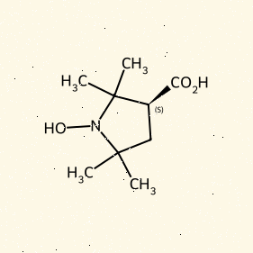 CC1(C)C[C@H](C(=O)O)C(C)(C)N1O